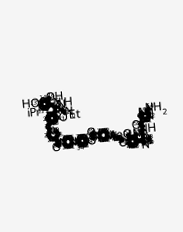 CCNC(=O)c1nnc(-c2cc(C(C)C)c(O)cc2O)n1-c1ccc(CN2CCC(C(=O)N3CCN(c4ccc(OC(=O)N5CCN(CCCOc6ccc7c(c6OC)N=C(NC(=O)c6cnc(N)nc6)N6CCN=C76)CC5)cc4)CC3)CC2)cc1